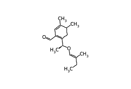 CC/C(C)=C/O[C@@H](C)C1=C(C=O)C=C(C)C(C)C1